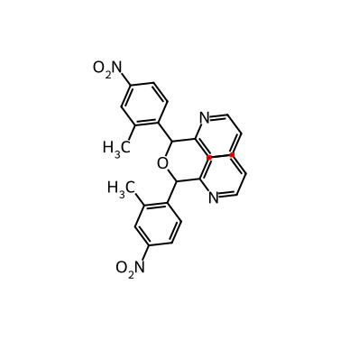 Cc1cc([N+](=O)[O-])ccc1C(OC(c1ccccn1)c1ccc([N+](=O)[O-])cc1C)c1ccccn1